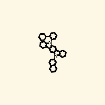 C1=CCC(c2ccccc2-n2c3ccccc3c3cc4c(cc32)c2ccccc2n4-c2ccc3ccccc3c2)C=C1